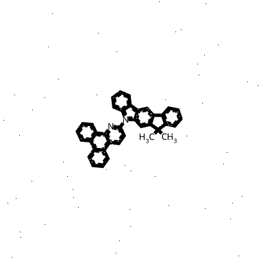 CC1(C)c2ccccc2-c2cc3c4ccccc4n(-c4ccc5c6ccccc6c6ccccc6c5n4)c3cc21